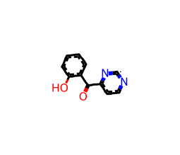 O=C(c1ccn[c]n1)c1ccccc1O